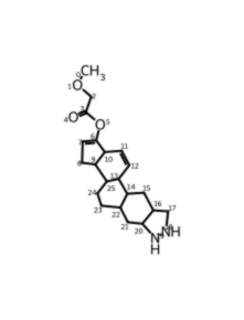 COCC(=O)OC1=CCC2C1C=CC1C3CC4CNNC4CC3CCC12